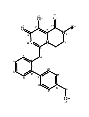 CC(C)N1CCn2c(Cc3ccccc3-c3ccc(CO)cc3)nc(=O)c(O)c2C1=O